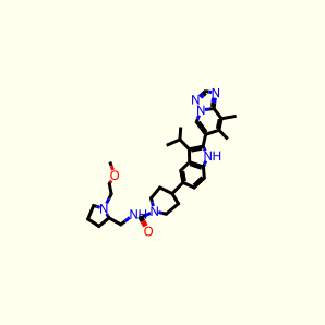 COCCN1CCCC1CNC(=O)N1CCC(c2ccc3[nH]c(-c4cn5ncnc5c(C)c4C)c(C(C)C)c3c2)CC1